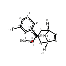 CC(C)(C)OC(=O)N1[C@@H]2C=C[C@H]1C[C@](C#N)(c1cncc(F)c1)C2